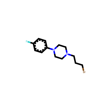 Fc1ccc(N2CCN(CCCBr)CC2)cc1